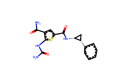 NC(=O)Nc1sc(C(=O)N[C@@H]2C[C@@H]2c2ccccc2)cc1C(N)=O